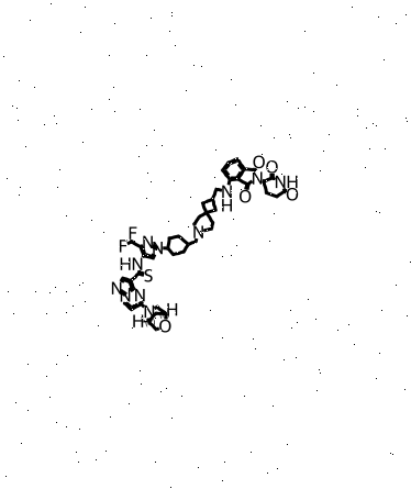 O=C1CCC(N2C(=O)c3cccc(NCC4CC5(CCN(CC6CCC(n7cc(NC(=S)c8cnn9ccc(N%10C[C@H]%11C[C@@H]%10CO%11)nc89)c(C(F)F)n7)CC6)CC5)C4)c3C2=O)C(=O)N1